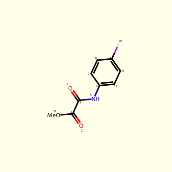 COC(=O)C(=O)Nc1ccc(I)cc1